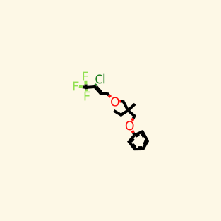 CCC(C)(COC/C=C(\Cl)C(F)(F)F)COc1ccccc1